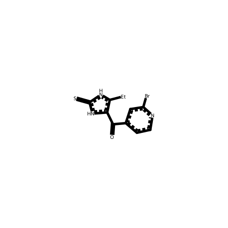 CCc1[nH]c(=S)[nH]c1C(=O)c1ccnc(Br)c1